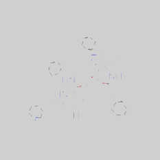 CC(C)[C@H](NC(=O)OCc1ccccc1)C(=O)NC(Cc1ccccc1)C(O)C(Cc1ccccc1)NC(=O)[C@@H](NC(=O)OCc1cccnc1)C(C)C